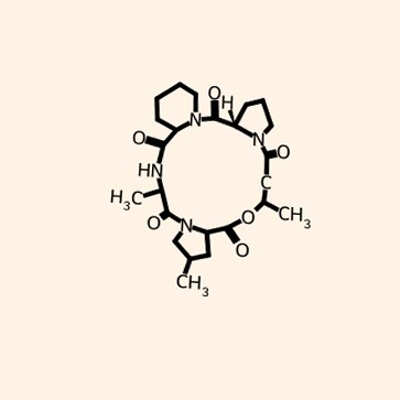 CC1CC2C(=O)OC(C)CC(=O)N3CCC[C@H]3C(=O)N3CCCCC3C(=O)NC(C)C(=O)N2C1